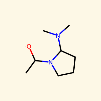 CC([O])N1CCCC1N(C)C